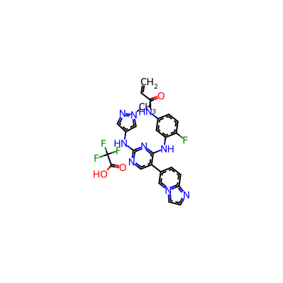 C=CC(=O)Nc1ccc(F)c(Nc2nc(Nc3cnn(C)c3)ncc2-c2ccc3nccn3c2)c1.O=C(O)C(F)(F)F